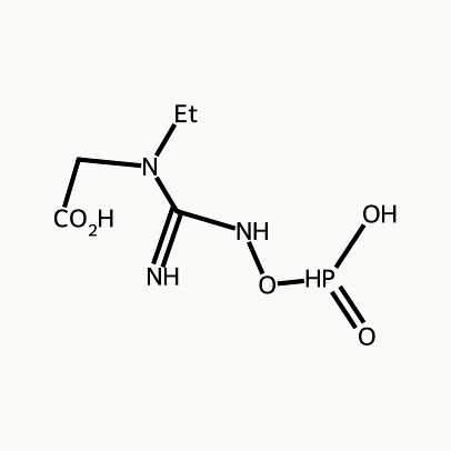 CCN(CC(=O)O)C(=N)NO[PH](=O)O